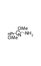 CCCc1cc(OC)c(CCN)nc1OC